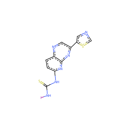 S=C(NI)Nc1ccc2ncc(-c3cncs3)nc2n1